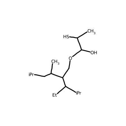 CCC(C(C)C)C(COC(O)C(C)S)C(C)CC(C)C